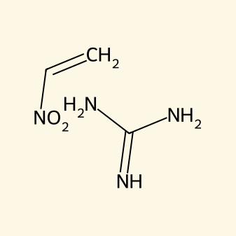 C=C[N+](=O)[O-].N=C(N)N